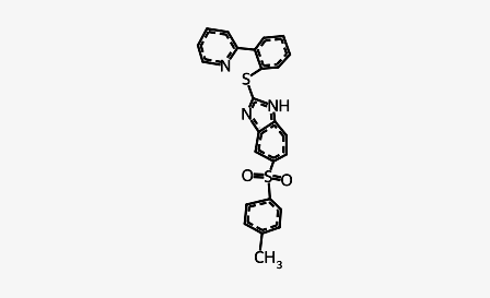 Cc1ccc(S(=O)(=O)c2ccc3[nH]c(Sc4ccccc4-c4ccccn4)nc3c2)cc1